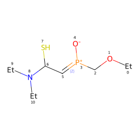 CCOC/[P+]([O-])=C/C(S)N(CC)CC